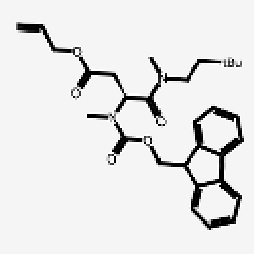 C=CCOC(=O)C[C@@H](C(=O)N(C)CCC(C)(C)C)N(C)C(=O)OCC1c2ccccc2-c2ccccc21